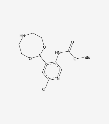 CCCCOC(=O)Nc1cnc(Cl)cc1B1OCCNCCO1